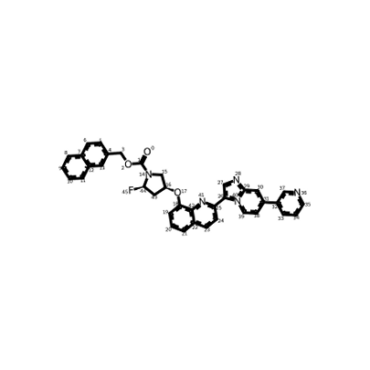 O=C(OCc1ccc2ccccc2c1)N1C[C@@H](Oc2cccc3ccc(-c4cnc5cc(-c6cccnc6)ccn45)nc23)C[C@H]1F